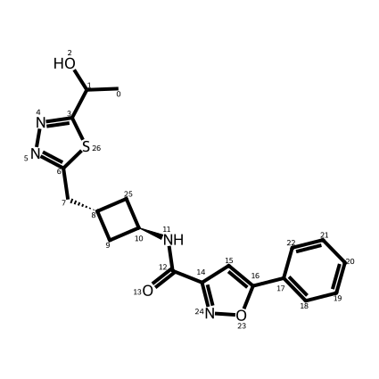 CC(O)c1nnc(C[C@H]2C[C@H](NC(=O)c3cc(-c4ccccc4)on3)C2)s1